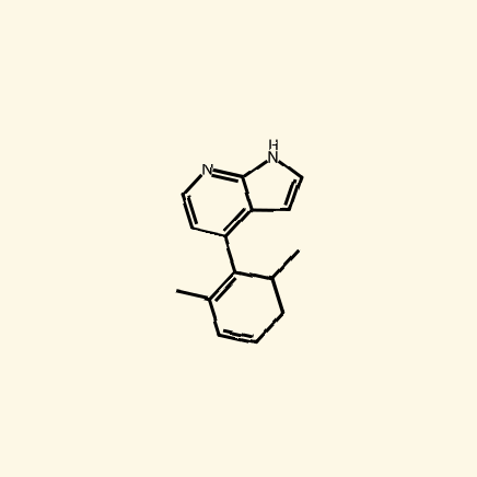 CC1=C(c2ccnc3[nH]ccc23)C(C)CC=C1